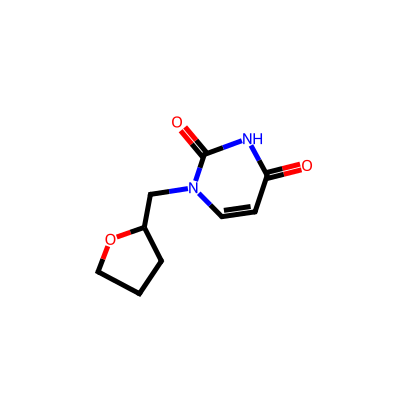 O=c1ccn(CC2CCCO2)c(=O)[nH]1